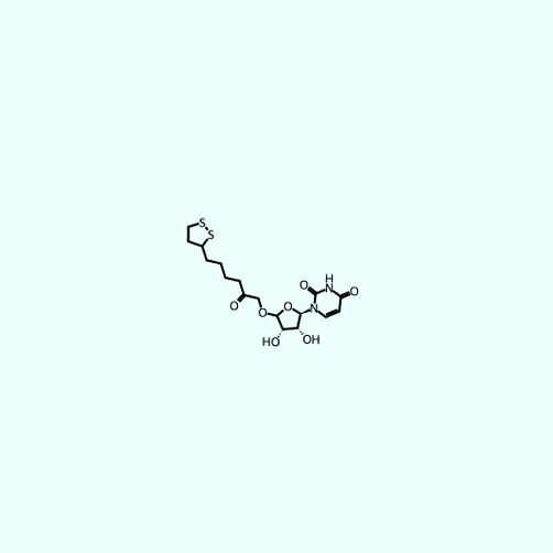 O=C(CCCCC1CCSS1)COC1O[C@@H](n2ccc(=O)[nH]c2=O)[C@H](O)[C@@H]1O